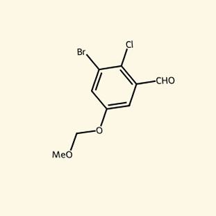 COCOc1cc(Br)c(Cl)c(C=O)c1